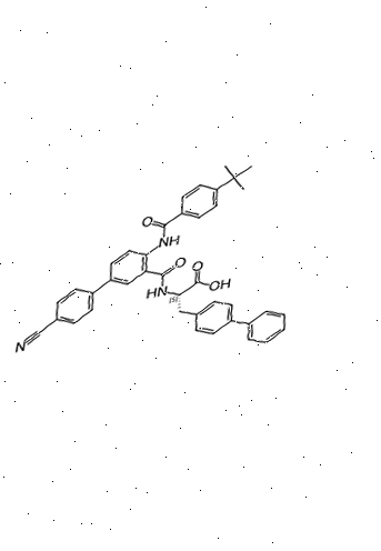 CC(C)(C)c1ccc(C(=O)Nc2ccc(-c3ccc(C#N)cc3)cc2C(=O)N[C@@H](Cc2ccc(-c3ccccc3)cc2)C(=O)O)cc1